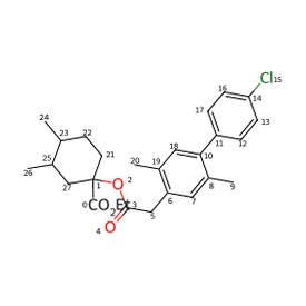 CCOC(=O)C1(OC(=O)Cc2cc(C)c(-c3ccc(Cl)cc3)cc2C)CCC(C)C(C)C1